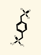 CCP(=O)(CC)Cc1ccc(CP(C)(=O)P)cc1